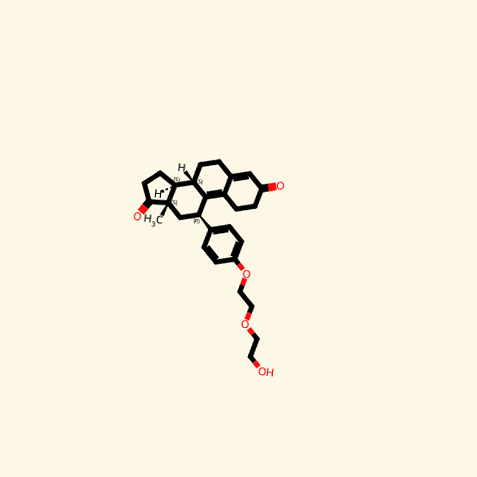 C[C@]12C[C@H](c3ccc(OCCOCCO)cc3)C3=C4CCC(=O)C=C4CC[C@H]3[C@@H]1CCC2=O